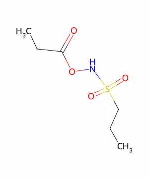 CCCS(=O)(=O)NOC(=O)CC